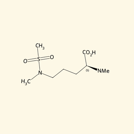 CN[C@@H](CCCN(C)S(C)(=O)=O)C(=O)O